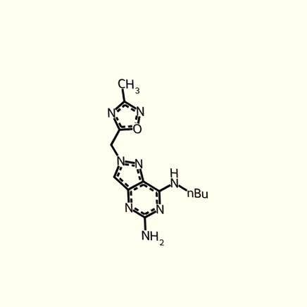 CCCCNc1nc(N)nc2cn(Cc3nc(C)no3)nc12